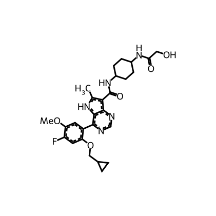 COc1cc(-c2ncnc3c(C(=O)NC4CCC(NC(=O)CO)CC4)c(C)[nH]c23)c(OCC2CC2)cc1F